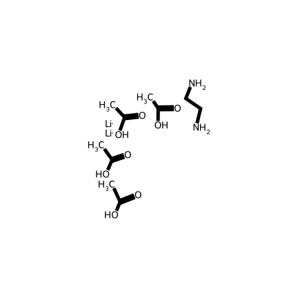 CC(=O)O.CC(=O)O.CC(=O)O.CC(=O)O.NCCN.[Li].[Li]